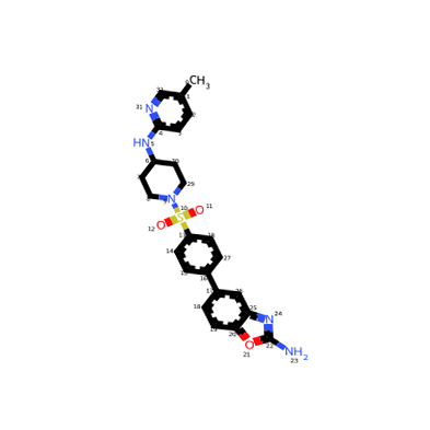 Cc1ccc(NC2CCN(S(=O)(=O)c3ccc(-c4ccc5oc(N)nc5c4)cc3)CC2)nc1